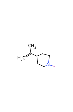 C=C(C)C1CCN(I)CC1